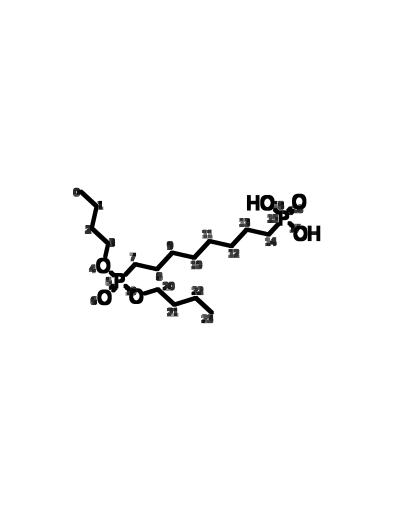 CCCCOP(=O)(CCCCCCCCP(=O)(O)O)OCCCC